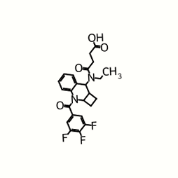 CCN(C(=O)CCC(=O)O)C1c2ccccc2N(C(=O)c2cc(F)c(F)c(F)c2)C2CCC12